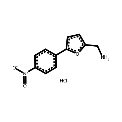 Cl.NCc1ccc(-c2ccc([N+](=O)[O-])cc2)o1